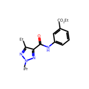 CCOC(=O)c1cccc(NC(=O)c2nn(C(C)C)nc2CC)c1